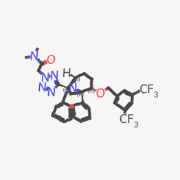 CN(C)C(=O)Cn1nnc([C@@H]2C[C@@]3(c4ccccc4)[C@H](OCc4cc(C(F)(F)F)cc(C(F)(F)F)c4)CC[C@@H]2N3Cc2ccccc2)n1